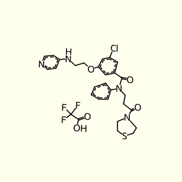 O=C(CCN(C(=O)c1cc(Cl)cc(OCCNc2ccncc2)c1)c1ccccc1)N1CCSCC1.O=C(O)C(F)(F)F